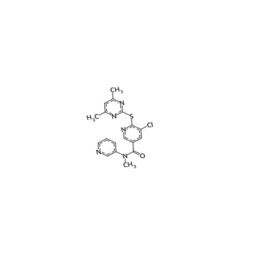 Cc1cc(C)nc(Sc2ncc(C(=O)N(C)c3cccnc3)cc2Cl)n1